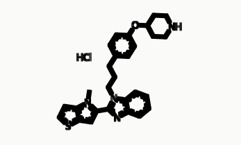 Cl.Cn1c(-c2nc3ccccc3n2CCCc2ccc(OC3CCNCC3)cc2)cc2sccc21